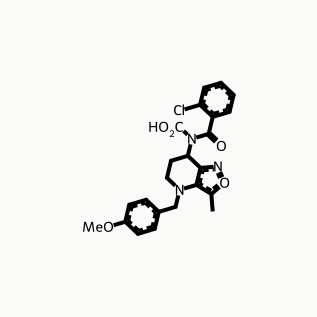 COc1ccc(CN2CCC(N(C(=O)O)C(=O)c3ccccc3Cl)c3noc(C)c32)cc1